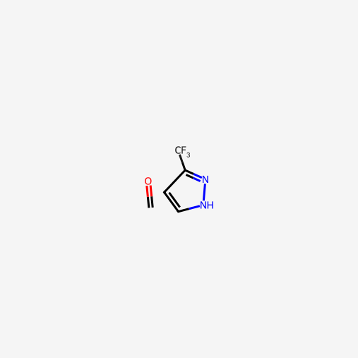 C=O.FC(F)(F)c1cc[nH]n1